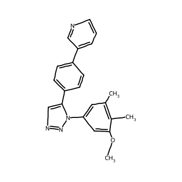 COc1cc(-n2nncc2-c2ccc(-c3cccnc3)cc2)cc(C)c1C